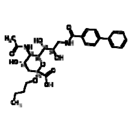 CCCCO[C@]1(C(=O)O)C[C@H](O)[C@@H](NC(C)=O)[C@H]([C@H](O)[C@H](O)CNC(=O)c2ccc(-c3ccccc3)cc2)O1